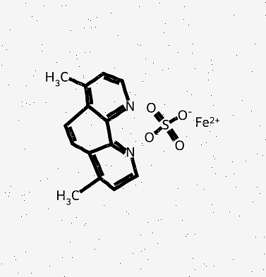 Cc1ccnc2c1ccc1c(C)ccnc12.O=S(=O)([O-])[O-].[Fe+2]